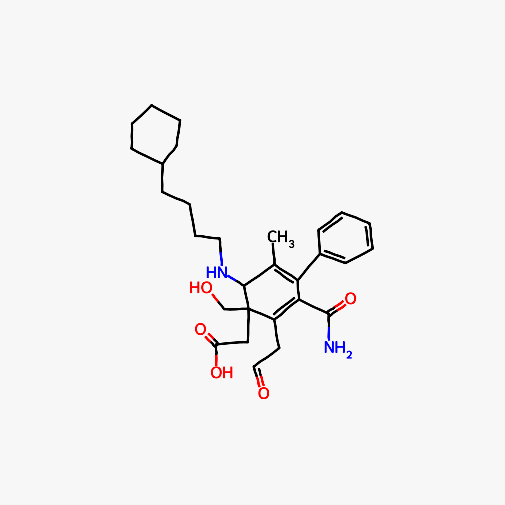 CC1=C(c2ccccc2)C(C(N)=O)=C(CC=O)C(CO)(CC(=O)O)C1NCCCCC1CCCCC1